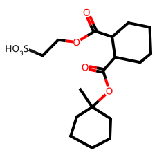 CC1(OC(=O)C2CCCCC2C(=O)OCCS(=O)(=O)O)CCCCC1